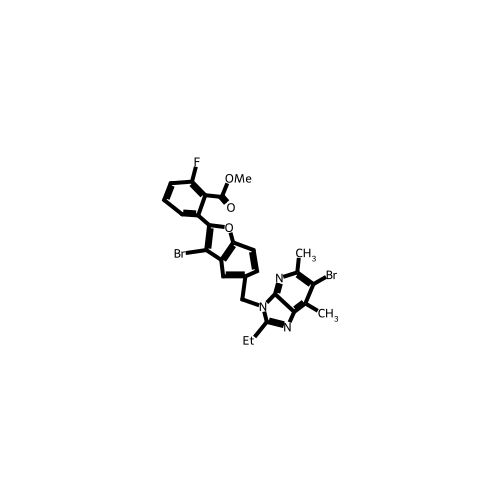 CCc1nc2c(C)c(Br)c(C)nc2n1Cc1ccc2oc(-c3cccc(F)c3C(=O)OC)c(Br)c2c1